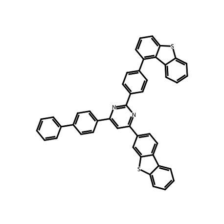 c1ccc(-c2ccc(-c3cc(-c4ccc5c(c4)sc4ccccc45)nc(-c4ccc(-c5cccc6sc7ccccc7c56)cc4)n3)cc2)cc1